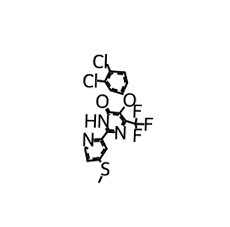 CSc1ccnc(-c2nc(C(F)(F)F)c(Oc3ccc(Cl)c(Cl)c3)c(=O)[nH]2)c1